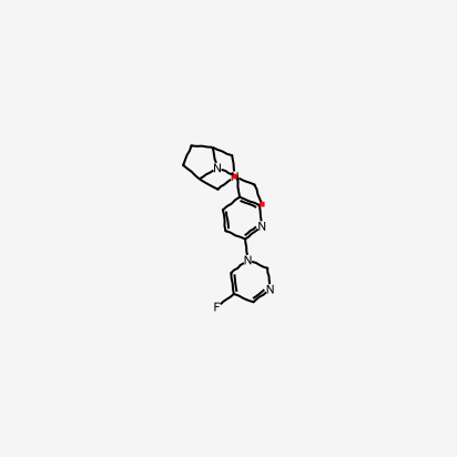 CCN1CC2CCC(C1)N2Cc1ccc(N2C=C(F)C=NC2)nc1